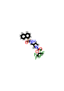 O=C(OC(C(F)(F)F)C(F)(F)F)N1CCC(CN[S+]([O-])c2cccc3ccccc23)C1